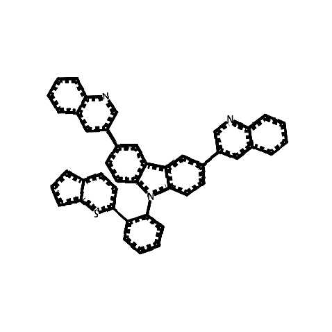 c1cc2ccc(-c3ccccc3-n3c4ccc(-c5cnc6ccccc6c5)cc4c4cc(-c5cnc6ccccc6c5)ccc43)sc-2c1